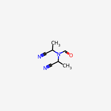 CC(C#N)N(C=O)C(C)C#N